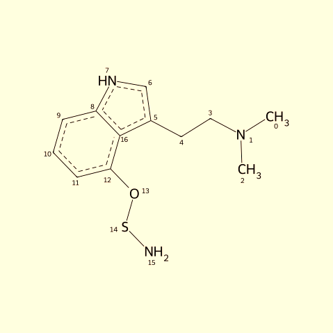 CN(C)CCc1c[nH]c2cccc(OSN)c12